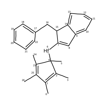 CC1=C(C)[C](C)([Hf][C]2=Cc3ccccc3C2Cc2ccccc2)C(C)=C1C